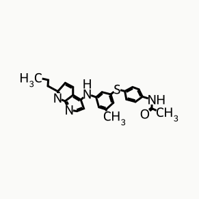 CCCc1ccc2c(Nc3cc(C)cc(Sc4ccc(NC(C)=O)cc4)c3)ccnc2n1